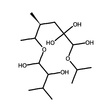 CC(C)OC(O)C(O)(O)C[C@H](C)C(C)OC(O)C(O)C(C)C